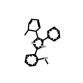 CNc1ccccc1-c1nc(C2C=CC=CC2C)c(-c2ccccc2)[nH]1